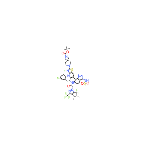 C[C@@H]1c2c(C(F)(F)F)nn(CC(=O)N[C@@H](Cc3cc(F)cc(F)c3)c3nc4nc(N5CCC6(CC5)CN(C(=O)OC(C)(C)C)C6)sc4cc3-c3cccc4c(NS(C)(=O)=O)nn(C)c34)c2C(F)(F)[C@@H]1C